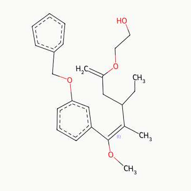 C=C(CC(CC)/C(C)=C(/OC)c1cccc(OCc2ccccc2)c1)OCCO